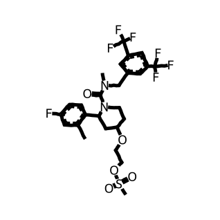 Cc1cc(F)ccc1C1CC(OCCOS(C)(=O)=O)CCN1C(=O)N(C)Cc1cc(C(F)(F)F)cc(C(F)(F)F)c1